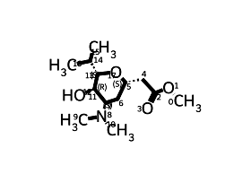 COC(=O)C[C@@H]1C[C@H](N(C)C)[C@@H](O)[C@H](C(C)C)O1